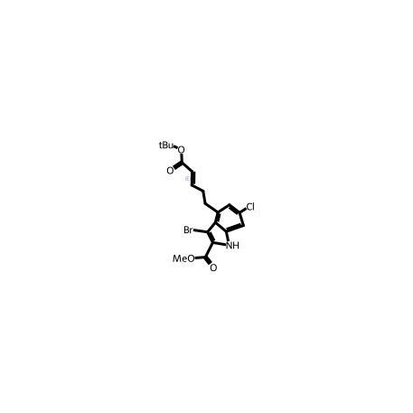 COC(=O)c1[nH]c2cc(Cl)cc(CC/C=C/C(=O)OC(C)(C)C)c2c1Br